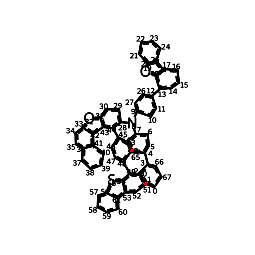 c1ccc(-c2ccc(N(c3ccc(-c4cccc5c4oc4ccccc45)cc3)c3ccc4oc5ccc6ccccc6c5c4c3-c3ccc(-c4cccc5c4sc4ccccc45)cc3)cc2)cc1